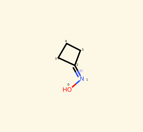 O/N=C1\[CH]CC1